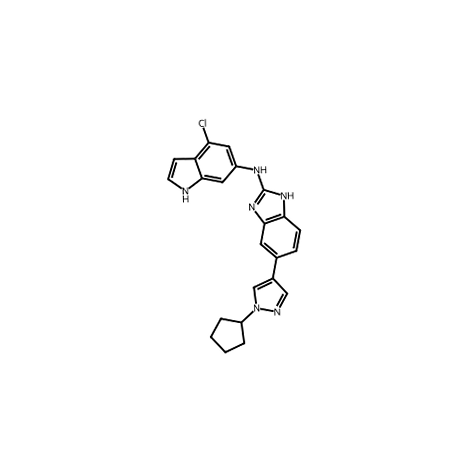 Clc1cc(Nc2nc3cc(-c4cnn(C5CCCC5)c4)ccc3[nH]2)cc2[nH]ccc12